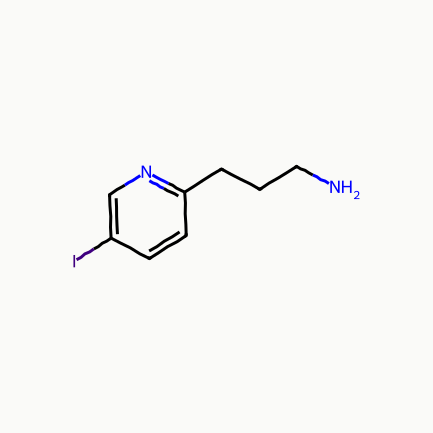 NCCCc1ccc(I)cn1